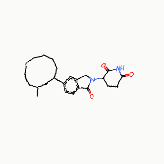 CC1CCCCCCCC(c2ccc3c(c2)CN(C2CCC(=O)NC2=O)C3=O)C1